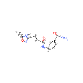 NC(=O)c1cccc(NC(=O)CCc2noc(C(F)(F)F)n2)c1